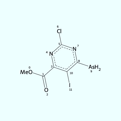 COC(=O)c1nc(Cl)nc([AsH2])c1I